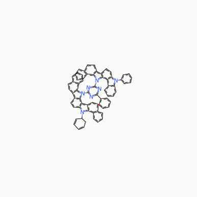 C1=CCC(n2c3ccc4c5ccc6ccccc6c5n(-c5nc(-c6ccccc6)nc(-n6c7c8ccccc8ccc7c7ccc8c(c9ccccc9n8-c8ccccc8)c76)n5)c4c3c3ccc4ccccc4c32)C=C1